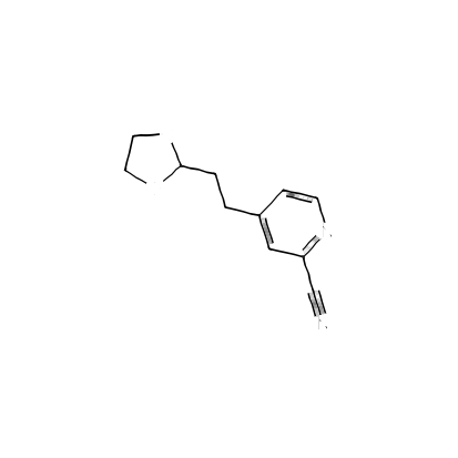 N#Cc1cc(CCC2OCCO2)ccn1